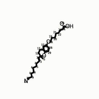 CC1(/C=C/CCCCCCC#N)CCc2cc(OCCCCCCCC(=O)O)ccc2O1